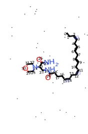 CC/C=C\CC=CCC=CC/C=C\C/C=C\CCCC(=O)NCC(C(N)=O)N1CCOCC1